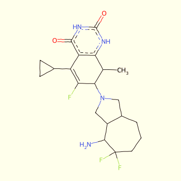 CC1c2[nH]c(=O)[nH]c(=O)c2C(C2CC2)=C(F)C1N1CC2CCCC(F)(F)C(N)C2C1